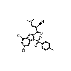 Cc1ccc(S(=O)(=O)n2c(C(=O)C(C#N)=CN(C)C)cc3c(Cl)cc(Cl)cc32)cc1